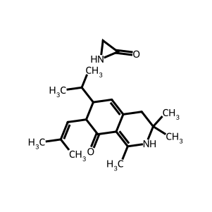 CC(C)=CC1C(=O)C2=C(C)NC(C)(C)CC2=CC1C(C)C.O=C1CN1